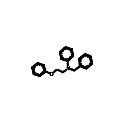 c1ccc(CN(CCOc2ccccc2)c2ccccc2)cc1